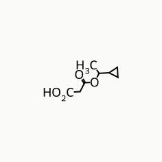 CC(OC(=O)CC(=O)O)C1CC1